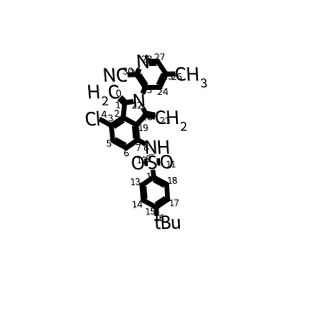 C=c1c2c(Cl)ccc(NS(=O)(=O)c3ccc(C(C)(C)C)cc3)c2c(=C)n1-c1cc(C)cnc1C#N